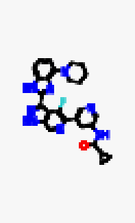 O=C(Nc1cncc(-c2ncc3[nH]nc(-c4nc5c(N6CCCCC6)cccc5[nH]4)c3c2F)c1)C1CC1